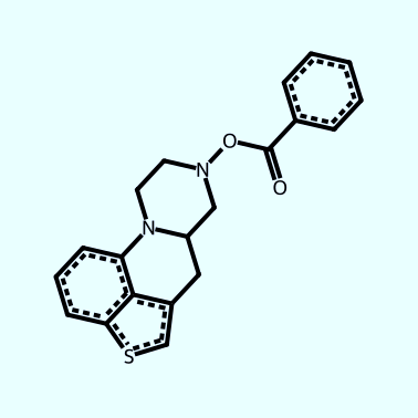 O=C(ON1CCN2c3cccc4scc(c34)CC2C1)c1ccccc1